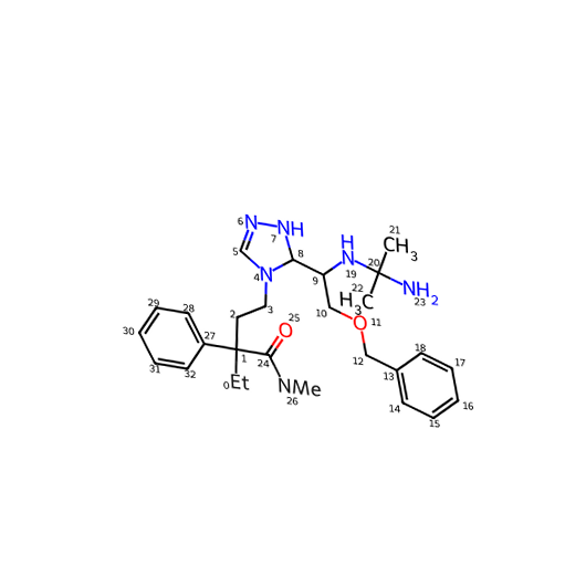 CCC(CCN1C=NNC1C(COCc1ccccc1)NC(C)(C)N)(C(=O)NC)c1ccccc1